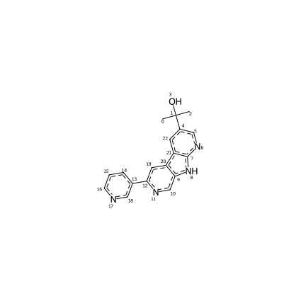 CC(C)(O)c1cnc2[nH]c3cnc(-c4cccnc4)cc3c2c1